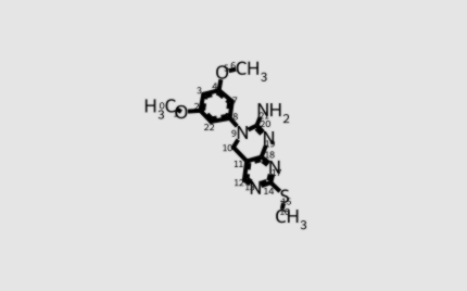 COc1cc(OC)cc(N2Cc3cnc(SC)nc3N=C2N)c1